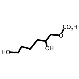 O=C(O)OCC(O)CCCCO